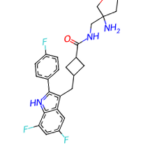 NC1(CNC(=O)C2CC(Cc3c(-c4ccc(F)cc4)[nH]c4c(F)cc(F)cc34)C2)CCOC1